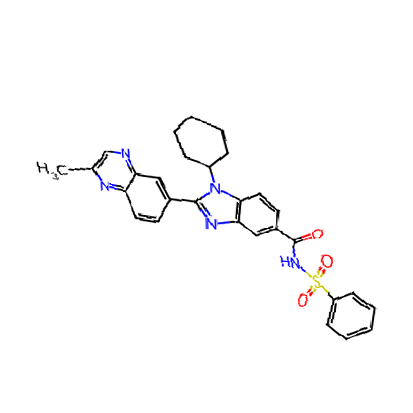 Cc1cnc2cc(-c3nc4cc(C(=O)NS(=O)(=O)c5ccccc5)ccc4n3C3CCCCC3)ccc2n1